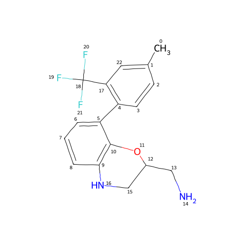 Cc1ccc(-c2cccc3c2OC(CN)CN3)c(C(F)(F)F)c1